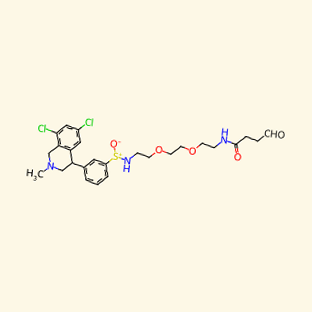 CN1Cc2c(Cl)cc(Cl)cc2C(c2cccc([S+]([O-])NCCOCCOCCNC(=O)CCC=O)c2)C1